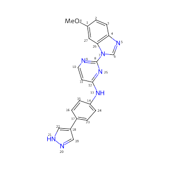 COc1ccc2ncn(-c3nccc(Nc4ccc(-c5cn[nH]c5)cc4)n3)c2c1